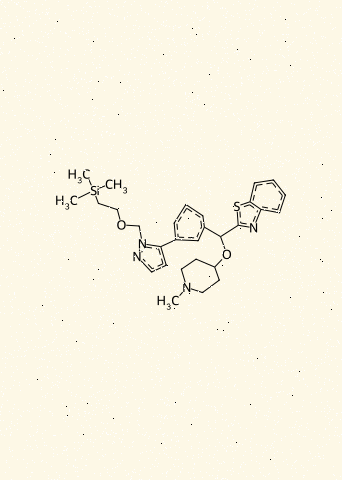 CN1CCC(OC(c2cccc(-c3ccnn3COCC[Si](C)(C)C)c2)c2nc3ccccc3s2)CC1